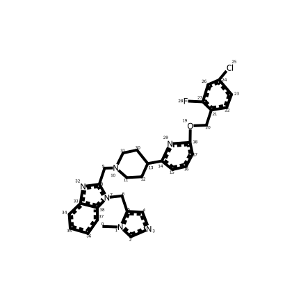 Cn1cncc1Cn1c(CN2CCC(c3cccc(OCc4ccc(Cl)cc4F)n3)CC2)nc2ccccc21